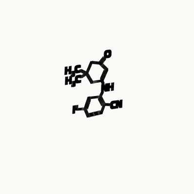 CC1(C)CC(=O)C=C(Nc2cc(F)ccc2C#N)C1